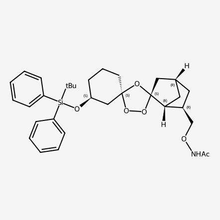 CC(=O)NOC[C@@H]1C[C@@H]2C[C@H]1[C@]1(C2)OO[C@]2(CCC[C@H](O[Si](c3ccccc3)(c3ccccc3)C(C)(C)C)C2)O1